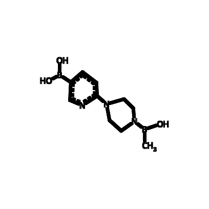 CB(O)N1CCN(c2ccc(B(O)O)cn2)CC1